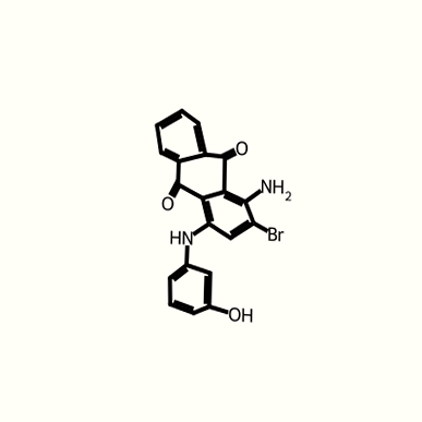 Nc1c(Br)cc(Nc2cccc(O)c2)c2c1C(=O)c1ccccc1C2=O